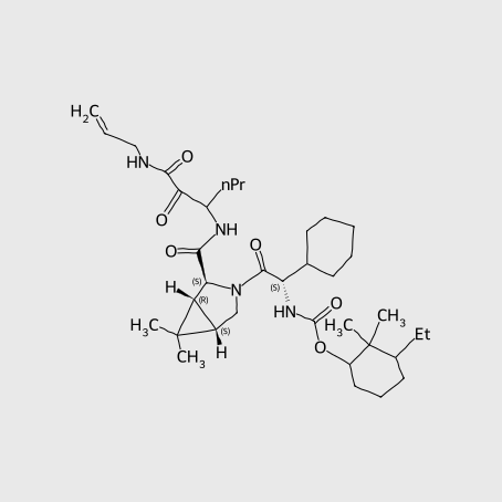 C=CCNC(=O)C(=O)C(CCC)NC(=O)[C@@H]1[C@@H]2[C@H](CN1C(=O)[C@@H](NC(=O)OC1CCCC(CC)C1(C)C)C1CCCCC1)C2(C)C